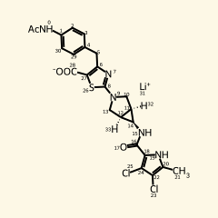 CC(=O)Nc1ccc(Cc2nc(N3C[C@@H]4[C@H](C3)[C@@H]4NC(=O)c3[nH]c(C)c(Cl)c3Cl)sc2C(=O)[O-])cc1.[Li+]